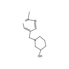 C=C(C)/N=C\C(=C/C)CN1CCCC(O)C1